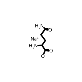 NC(=O)CCC(N)C(=O)[O-].[Na+]